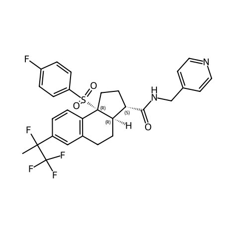 CC(F)(c1ccc2c(c1)CC[C@@H]1[C@@H](C(=O)NCc3ccncc3)CC[C@]21S(=O)(=O)c1ccc(F)cc1)C(F)(F)F